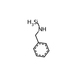 [SiH3]NCc1ccccc1